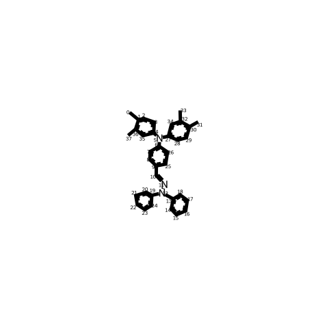 Cc1ccc(N(c2ccc(/C=N/N(c3ccccc3)c3ccccc3)cc2)c2ccc(C)c(C)c2)cc1C